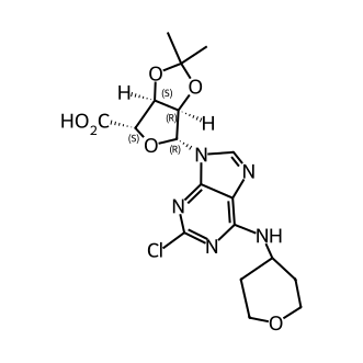 CC1(C)O[C@@H]2[C@H](O1)[C@@H](C(=O)O)O[C@H]2n1cnc2c(NC3CCOCC3)nc(Cl)nc21